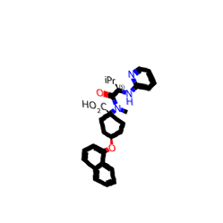 CC(C)[C@H](Nc1ccccn1)C(=O)N(C)[C@]1(C(=O)O)CC[C@H](Oc2cccc3ccccc23)CC1